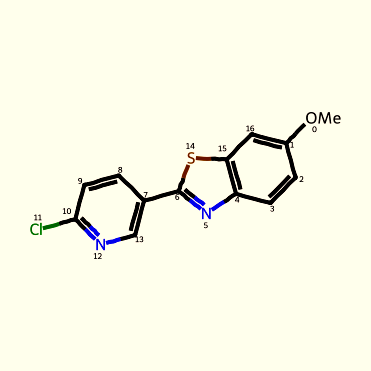 COc1ccc2nc(-c3ccc(Cl)nc3)sc2c1